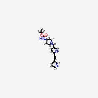 CC(C)(C)OC(=O)NC1CCN(Cc2ccc(C#Cc3cccnc3)nc2)CC1